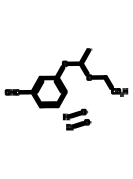 [CH2]C(OCC(=O)O)Oc1cccc(C=O)c1.[CH2]C[O].[CH2]C[O]